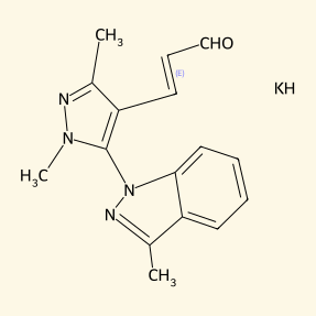 Cc1nn(C)c(-n2nc(C)c3ccccc32)c1/C=C/C=O.[KH]